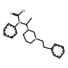 CCC(=O)N(c1ccccc1)C(C)[C@@H]1CCCN(CCc2ccccc2)C1